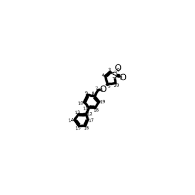 O=S1(=O)C=CC(OCc2ccc(-c3ccccc3)cc2)C1